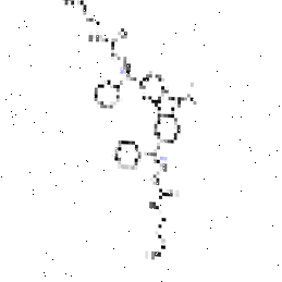 CC(C)n1c2ccc(/C(=N/OC(=O)NCCCO)c3ccccc3)cc2c2cc(/C(=N/OC(=O)NCCCO)c3ccccc3)ccc21